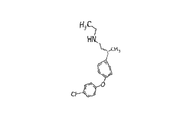 CCNCC=C(C)c1ccc(Oc2ccc(Cl)cc2)cc1